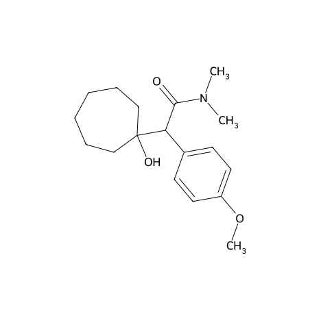 COc1ccc(C(C(=O)N(C)C)C2(O)CCCCCC2)cc1